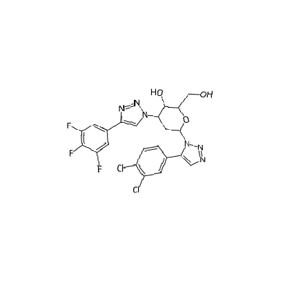 OCC1OC(n2nncc2-c2ccc(Cl)c(Cl)c2)CC(n2cc(-c3cc(F)c(F)c(F)c3)nn2)C1O